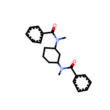 CN(C(=O)c1ccccc1)C1CCCC(N(C)C(=O)c2ccccc2)C1